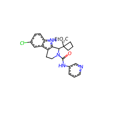 CCOC(=O)C1(C2c3[nH]c4ccc(Cl)cc4c3CCN2C(=O)Nc2cccnc2)CCC1